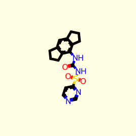 O=C(Nc1c2c(cc3c1CCC3)CCC2)NS(=O)(=O)c1ccncn1